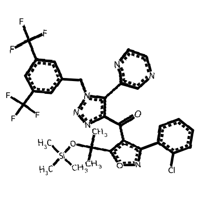 CC(C)(O[Si](C)(C)C)c1onc(-c2ccccc2Cl)c1C(=O)c1nnn(Cc2cc(C(F)(F)F)cc(C(F)(F)F)c2)c1-c1cnccn1